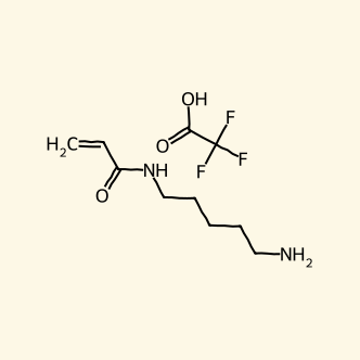 C=CC(=O)NCCCCCN.O=C(O)C(F)(F)F